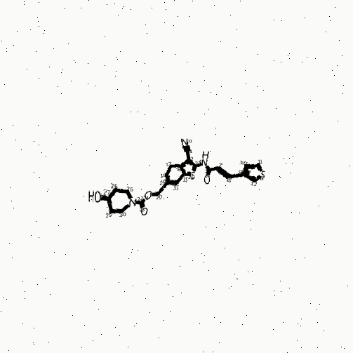 N#Cc1c(NC(=O)C=Cc2ccsc2)sc2c1CCC(COC(=O)N1CCC(O)CC1)C2